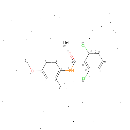 Cc1cc(OC(C)C)ccc1PC(=O)c1c(Cl)cccc1Cl.[LiH]